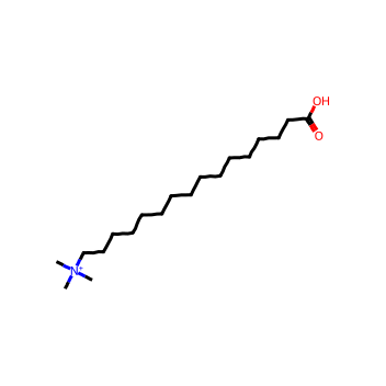 C[N+](C)(C)CCCCCCCCCCCCCCCC(=O)O